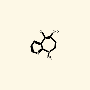 CN1CCC(C=O)=C(Cl)c2cccnc21